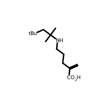 C=C(CCCNC(C)(C)CC(C)(C)C)C(=O)O